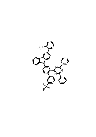 Cc1ccccc1-c1ccc2c(c1)c1ccccc1n2-c1ccc(-c2cccc(C(F)(F)F)c2)c(-c2nc(-c3ccccc3)nc(-c3ccccc3)n2)c1